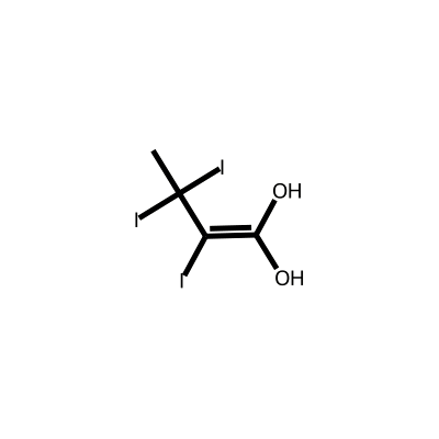 CC(I)(I)C(I)=C(O)O